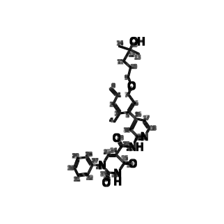 C=C/C=C(C)\C(=C/COCCCC(C)(C)O)c1ccnc(NC(=O)c2cn(-c3ccccc3)c(=O)[nH]c2=O)c1